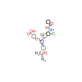 CC(C)C(=O)C1CCN([C@H]2C[C@@H](CO[C@H]3CC[C@H](C(=O)O)CC3)N(C(=O)Cc3cc(Cl)c(NC(=O)c4coc5ccccc45)cc3Cl)C2)CC1